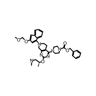 COCOc1cc(N2CCc3c(nc(O[C@@H](C)CN(C)C)nc3N3CCN(C(=O)OCc4ccccc4)CC3)C2)c2ccccc2c1